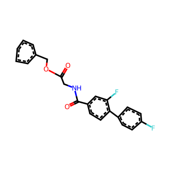 O=C(CNC(=O)c1ccc(-c2ccc(F)cc2)c(F)c1)OCc1ccccc1